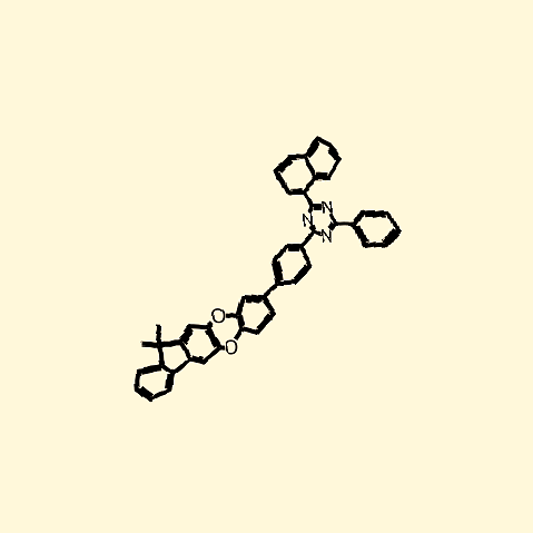 CC1(C)c2ccccc2-c2cc3c(cc21)Oc1cc(-c2ccc(-c4nc(-c5ccccc5)nc(-c5cccc6ccccc56)n4)cc2)ccc1O3